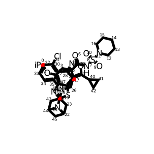 CC(C)Oc1cc(C(=O)NS(=O)(=O)N2CCCCC2)cc2sc(N3C4CC(NCc5c(-c6c(Cl)cccc6Cl)noc5C5CC5)CC3C4)nc12